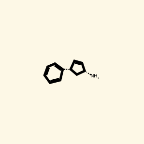 N[C@H]1C=C[C@@H](c2ccccc2)C1